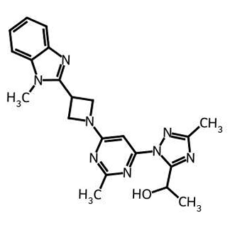 Cc1nc(N2CC(c3nc4ccccc4n3C)C2)cc(-n2nc(C)nc2C(C)O)n1